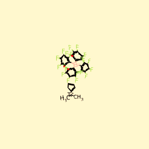 Fc1c(F)c(F)c([B-](c2c(F)c(F)c(F)c(F)c2F)(c2c(F)c(F)c(F)c(F)c2F)c2c(F)c(F)c(F)c(F)c2F)c(F)c1F.[CH3][Ti+]([CH3])[C]1=CC=CC1